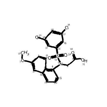 COc1ccc2c(N(CC(=O)O)S(=O)(=O)c3cc(Cl)cc(Cl)c3)cccc2c1